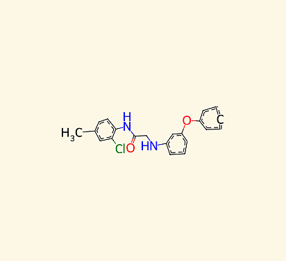 Cc1ccc(NC(=O)CNc2cccc(Oc3ccccc3)c2)c(Cl)c1